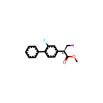 COC(=O)[C@H](CI)c1ccc(-c2ccccc2)c(F)c1